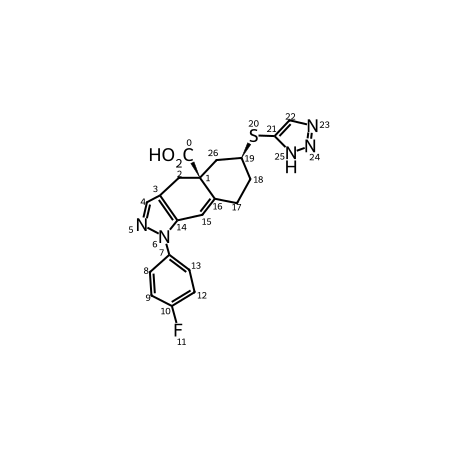 O=C(O)[C@]12Cc3cnn(-c4ccc(F)cc4)c3C=C1CC[C@H](Sc1cnn[nH]1)C2